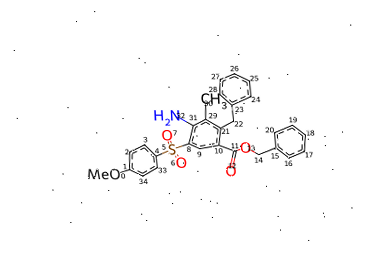 COc1ccc(S(=O)(=O)c2cc(C(=O)OCc3ccccc3)c(Cc3ccccc3)c(C)c2N)cc1